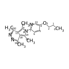 CCCOc1ccc(-n2c(C)c3c(C)nnc(C)c3c2C)nc1